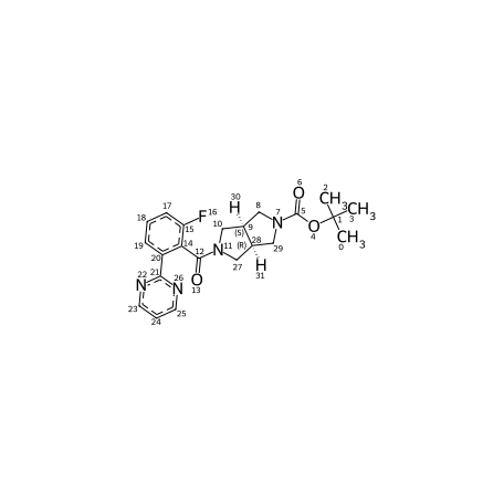 CC(C)(C)OC(=O)N1C[C@@H]2CN(C(=O)c3c(F)cccc3-c3ncccn3)C[C@@H]2C1